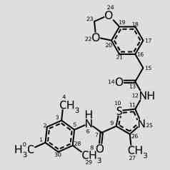 Cc1cc(C)c(NC(=O)c2sc(NC(=O)Cc3ccc4c(c3)OCO4)nc2C)c(C)c1